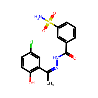 C/C(=N/NC(=O)c1cccc(S(N)(=O)=O)c1)c1cc(Cl)ccc1O